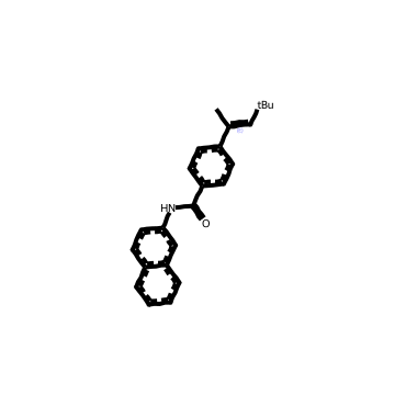 C/C(=C\C(C)(C)C)c1ccc(C(=O)Nc2ccc3ccccc3c2)cc1